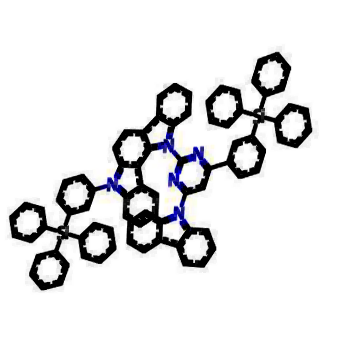 c1ccc([Si](c2ccccc2)(c2ccccc2)c2cccc(-c3cc(-n4c5ccccc5c5ccccc54)nc(-n4c5ccccc5c5ccc6c(c7ccccc7n6-c6cccc([Si](c7ccccc7)(c7ccccc7)c7ccccc7)c6)c54)n3)c2)cc1